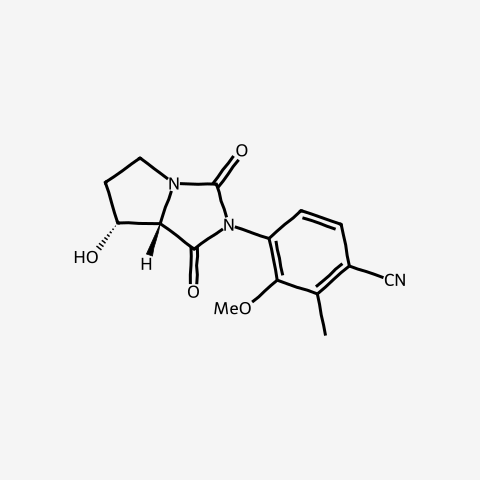 COc1c(N2C(=O)[C@@H]3[C@H](O)CCN3C2=O)ccc(C#N)c1C